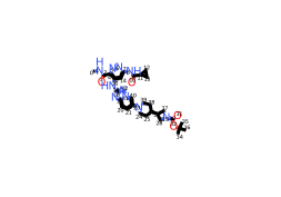 CNC(=O)c1nnc(NC(=O)C2CC2)cc1Nc1nc2ccc(N3CCC(C4CN(C(=O)OC(C)(C)C)C4)CC3)cn2n1